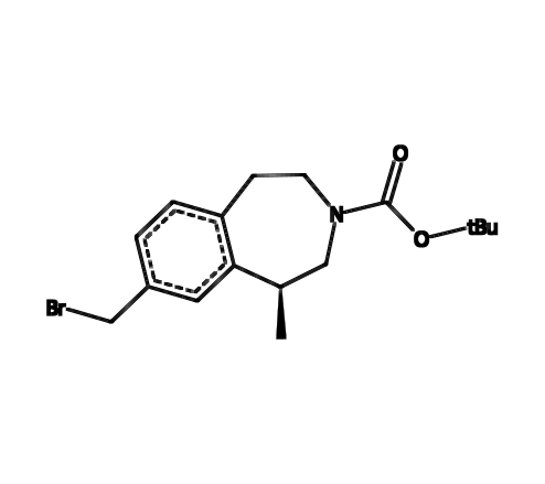 C[C@@H]1CN(C(=O)OC(C)(C)C)CCc2ccc(CBr)cc21